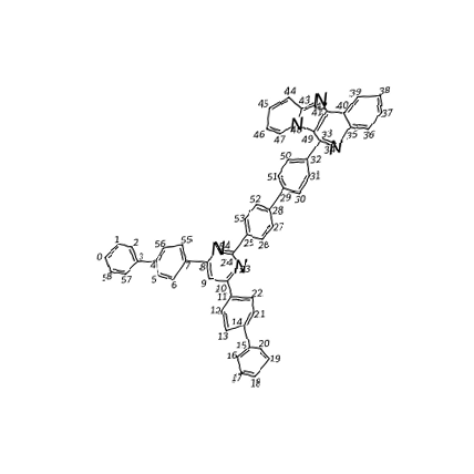 c1ccc(-c2ccc(-c3cc(-c4ccc(-c5ccccc5)cc4)nc(-c4ccc(-c5ccc(-c6nc7ccccc7c7nc8ccccn8c67)cc5)cc4)n3)cc2)cc1